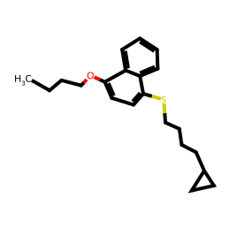 CCCCOc1ccc(SCCCCC2CC2)c2ccccc12